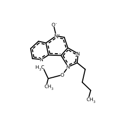 CCCCc1nc2c[n+]([O-])c3cccnc3c2n1OC(C)C